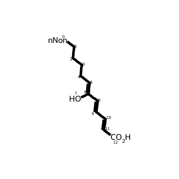 CCCCCCCCCCCCCC=C(O)C=CC=CC(=O)O